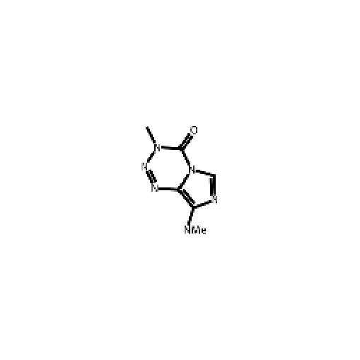 CNc1ncn2c(=O)n(C)nnc12